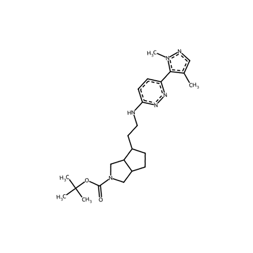 Cc1cnn(C)c1-c1ccc(NCCC2CCC3CN(C(=O)OC(C)(C)C)CC23)nn1